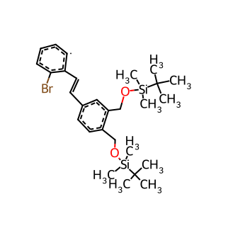 CC(C)(C)[Si](C)(C)OCc1ccc(C=Cc2[c]cccc2Br)cc1CO[Si](C)(C)C(C)(C)C